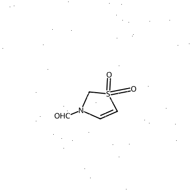 O=CN1C=CS(=O)(=O)C1